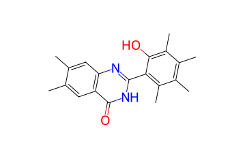 Cc1cc2nc(-c3c(C)c(C)c(C)c(C)c3O)[nH]c(=O)c2cc1C